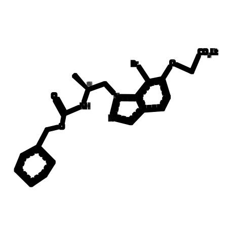 CCOC(=O)COc1ccc2cnn(C[C@H](C)NC(=O)OCc3ccccc3)c2c1Br